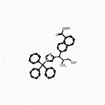 CNC(=O)c1cccc2cc(C(c3cn(C(c4ccccc4)(c4ccccc4)c4ccccc4)cn3)C(C)CO)ccc12